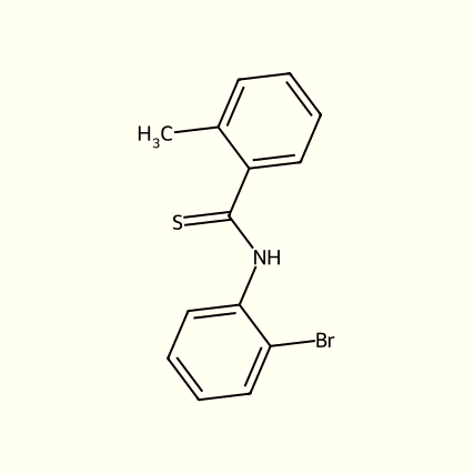 Cc1ccccc1C(=S)Nc1ccccc1Br